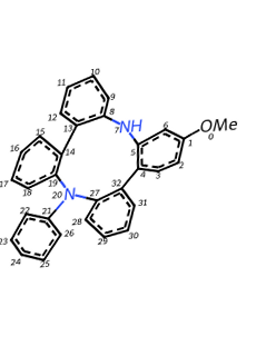 COc1ccc2c(c1)Nc1ccccc1-c1ccccc1N(c1ccccc1)c1ccccc1-2